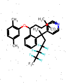 Cc1ccc(C)c(OC(CCC(C)(C)C(=O)O)c2ccccc2C(C)(CC(F)(F)C(F)(F)C(F)(F)C(F)(F)F)c2ccncc2)c1